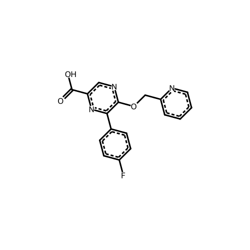 O=C(O)c1cnc(OCc2ccccn2)c(-c2ccc(F)cc2)n1